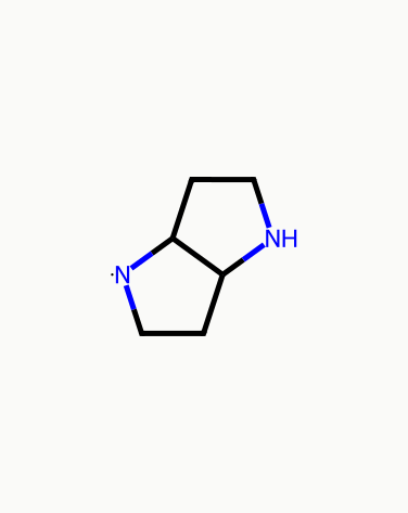 C1CC2NCCC2[N]1